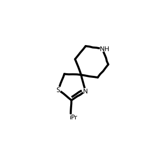 CC(C)C1=NC2(CCNCC2)CS1